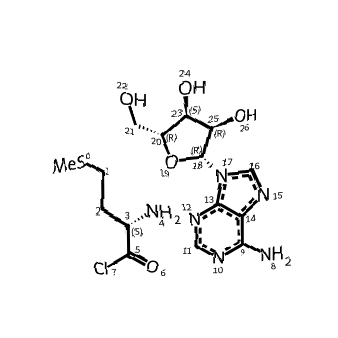 CSCC[C@H](N)C(=O)Cl.Nc1ncnc2c1ncn2[C@@H]1O[C@H](CO)[C@@H](O)[C@H]1O